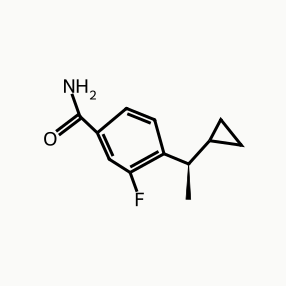 C[C@@H](c1ccc(C(N)=O)cc1F)C1CC1